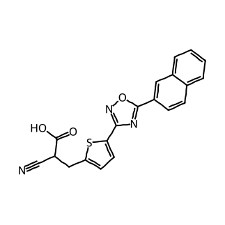 N#CC(Cc1ccc(-c2noc(-c3ccc4ccccc4c3)n2)s1)C(=O)O